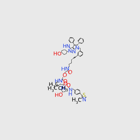 Cc1ncsc1-c1ccc(CNC(=O)[C@@H]2C[C@@H](O)CN2C(=O)[C@@H](NC(=O)COCC(=O)NCCCCC#Cc2cccc(Cn3c(-c4ccccc4)c(-c4ccccc4)c4c(=N)n(C5CCC(O)CC5)cnc43)c2)C(C)(C)C)cc1